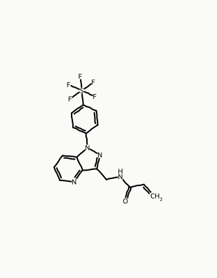 C=CC(=O)NCc1nn(-c2ccc(S(F)(F)(F)(F)F)cc2)c2cccnc12